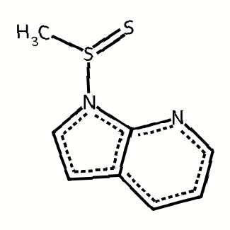 CS(=S)n1ccc2cccnc21